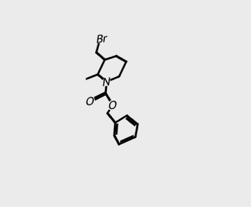 CC1C(CBr)CCCN1C(=O)OCc1ccccc1